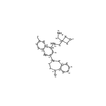 Cc1ccc2nc(N3CC[S+]([O-])c4ccccc4C3)cc(NCC3(CN)COC3)c2c1